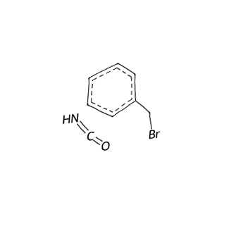 BrCc1ccccc1.N=C=O